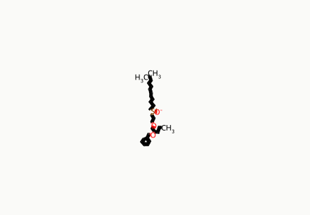 CCCC(COCCC[S+]([O-])CCCCCCCCCCC(C)C)OCc1ccccc1